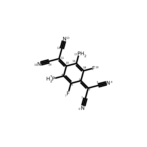 N#CC(C#N)=c1c(F)c(P)c(=C(C#N)C#N)c(P)c1F